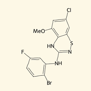 COc1cc(Cl)cc2c1NC(Nc1cc(F)ccc1Br)=NS2